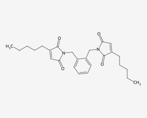 CCCCCC1=CC(=O)N(Cc2ccccc2CN2C(=O)C=C(CCCCC)C2=O)C1=O